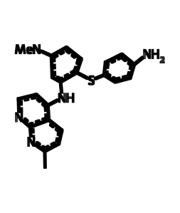 CNc1ccc(Sc2ccc(N)cc2)c(Nc2ccnc3nc(C)ccc23)c1